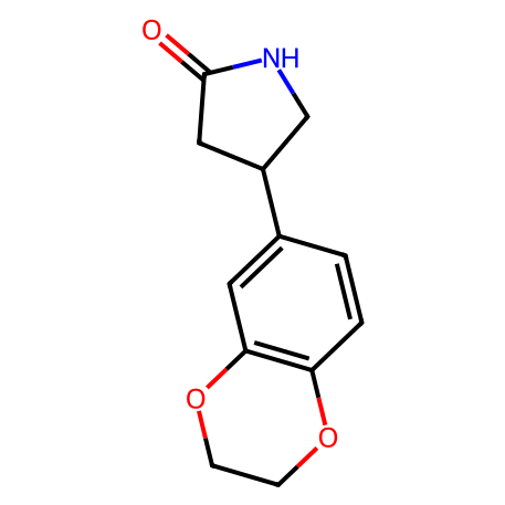 O=C1CC(c2ccc3c(c2)OCCO3)CN1